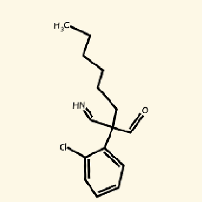 CCCCCCC(C=N)(C=O)c1ccccc1Cl